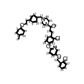 Cc1ccc(OCCc2ccc(CN3CCN(C(=O)C=Cc4cc(C)c(Oc5ccc(OCc6ccccc6Cl)cn5)cc4Cl)CC3)cc2)cc1